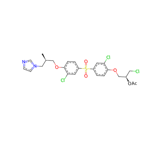 CC(=O)O[C@H](CCl)COc1ccc(S(=O)(=O)c2ccc(OC[C@H](C)Cn3ccnc3)c(Cl)c2)cc1Cl